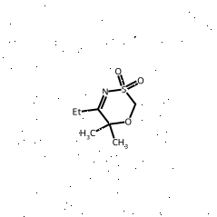 CCC1=NS(=O)(=O)COC1(C)C